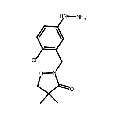 CC1(C)CON(Cc2cc(NN)ccc2Cl)C1=O